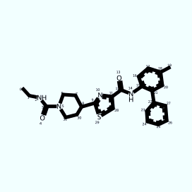 CCNC(=O)N1CCC(c2nc(C(=O)Nc3ccc(C)cc3-c3ccccc3)cs2)CC1